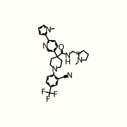 CN1CCC[C@@H]1CNC(=O)C1(c2ccc(-c3cccn3C)nc2)CCN(c2ccc(C(F)(F)F)cc2C#N)CC1